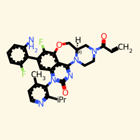 C=CC(=O)N1CCN2c3nc(=O)n(-c4c(C)ccnc4C(C)C)c4cc(-c5c(N)cccc5F)c(F)c(c34)OC[C@H]2C1